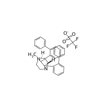 C[N+]12CCN(CC1)[C@@H](c1ccccc1-c1ccccc1)[C@@H]2c1ccccc1-c1ccccc1.O=S(=O)([O-])C(F)(F)F